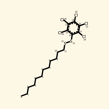 CCCCCCCCCCCCSSc1c(Cl)c(Cl)c(Cl)c(Cl)c1Cl